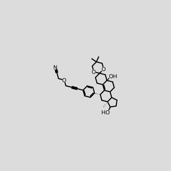 CC1(C)COC2(CCC3=C4C(CC[C@@]3(O)C2)C2CCC(O)[C@@]2(C)C[C@@H]4c2ccc(C#CCOCC#N)cc2)OC1